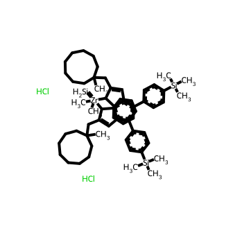 CC1(CC2=Cc3c(-c4ccc([Si](C)(C)C)cc4)cccc3[CH]2[Zr]([CH3])([CH3])(=[SiH2])[CH]2C(CC3(C)CCCCCCCC3)=Cc3c(-c4ccc([Si](C)(C)C)cc4)cccc32)CCCCCCCC1.Cl.Cl